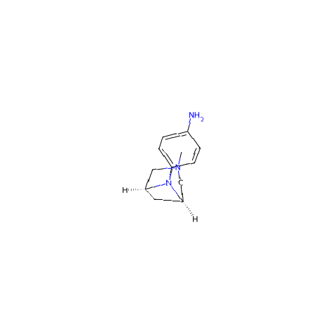 CN1C[C@H]2C[C@@H](C1)N2c1ccc(N)cc1